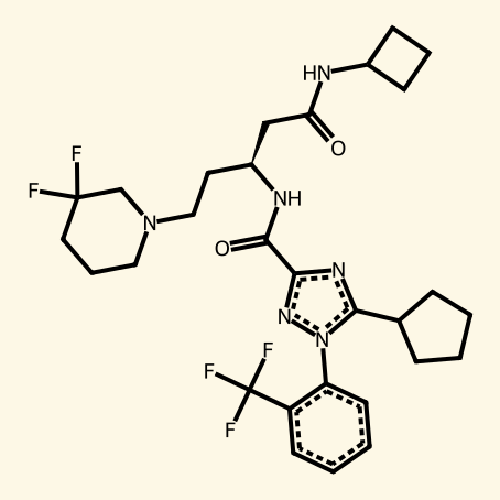 O=C(C[C@H](CCN1CCCC(F)(F)C1)NC(=O)c1nc(C2CCCC2)n(-c2ccccc2C(F)(F)F)n1)NC1CCC1